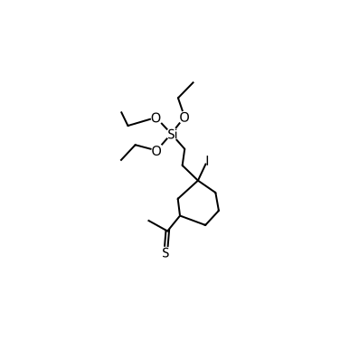 CCO[Si](CCC1(I)CCCC(C(C)=S)C1)(OCC)OCC